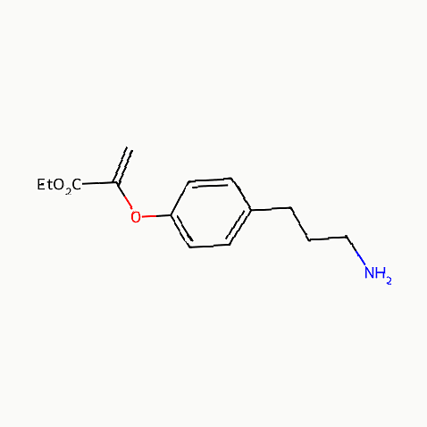 C=C(Oc1ccc(CCCN)cc1)C(=O)OCC